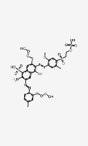 COc1cc(S(=O)(=O)CCOS(=O)(=O)O)c(C)cc1N=Nc1c(SOOO)cc2c(S(=O)(=O)O)c(N)c(N=Nc3ccc(C)cc3SOOO)cc2c1O